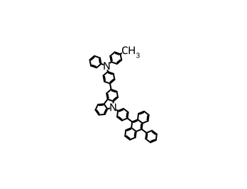 Cc1ccc(N(c2ccccc2)c2ccc(-c3ccc4c(c3)c3ccccc3n4-c3ccc(-c4c5ccccc5c(-c5ccccc5)c5ccccc45)cc3)cc2)cc1